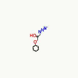 [N-]=[N+]=NC[C@H](O)COc1ccccc1